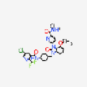 CNC(=O)c1ccc(-n2c(=O)n(CC3CCC(NC(=O)c4cc(Cl)cnc4C(F)F)CC3)c3cccc(OC)c32)cn1